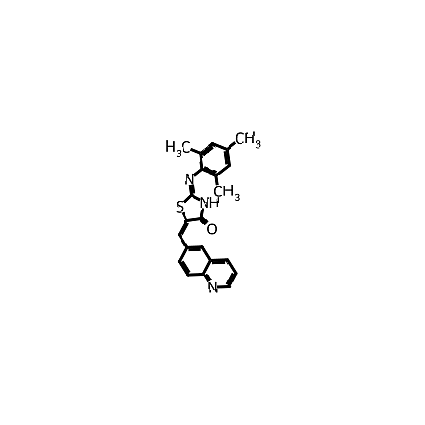 Cc1cc(C)c(N=C2NC(=O)C(=Cc3ccc4ncccc4c3)S2)c(C)c1